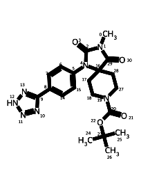 CN1C(=O)N(c2ccc(-c3nn[nH]n3)cc2)C2(CCN(C(=O)OC(C)(C)C)CC2)C1=O